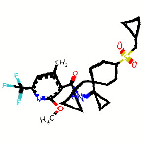 COc1nc(C(F)(F)F)cc(C)c1C(=O)NC1(C2(CC3CC3)CCC(S(=O)(=O)CC3CC3)CC2)CC1